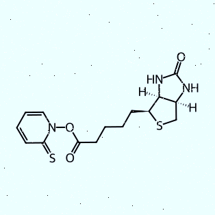 O=C1N[C@H]2[C@H](CS[C@H]2CCCCC(=O)On2ccccc2=S)N1